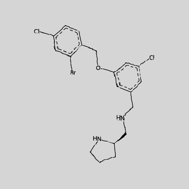 Clc1cc(CNC[C@H]2CCCN2)cc(OCc2ccc(Cl)cc2Br)c1